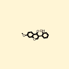 COc1ccc2c(=O)c(-c3ccccc3O)coc2c1